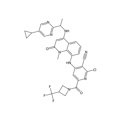 CC(Nc1cc(=O)n(C)c2c(Nc3cc(C(=O)N4CC(C(F)(F)F)C4)nc(Cl)c3C#N)cccc12)c1ncc(C2CC2)cn1